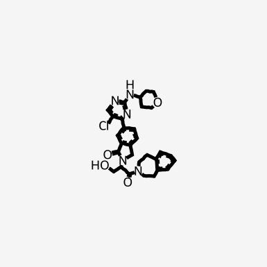 O=C(C(CO)N1Cc2ccc(-c3nc(NC4CCOCC4)ncc3Cl)cc2C1=O)N1CCc2ccccc2CC1